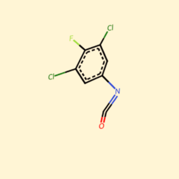 O=C=Nc1cc(Cl)c(F)c(Cl)c1